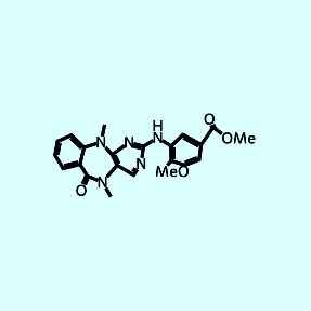 COC(=O)c1ccc(OC)c(Nc2ncc3c(n2)N(C)c2ccccc2C(=O)N3C)c1